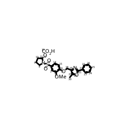 COc1cc(S(=O)(=O)N2CCC[C@H]2OC(=O)O)ccc1OCc1nc(-c2ccccc2)oc1C